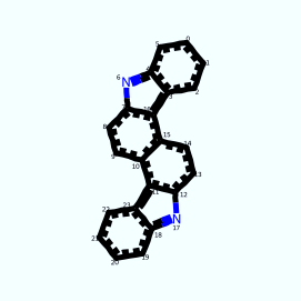 c1ccc2c(c1)=Nc1ccc3c4c(ccc3c1=2)N=c1ccccc1=4